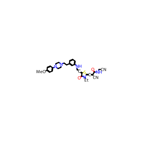 CCn1c(=C=C(C#N)C(=O)NCC#N)sc(=C=CNc2cccc(CCN3CCN(c4ccc(OC)cc4)CC3)c2)c1=O